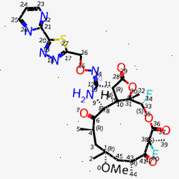 CO[C@]1(C)C[C@@H](C)C(=O)[C@H](C)[C@H]2[C@H](/C(N)=N/OCc3nnc(-c4ncccn4)s3)C(=O)O[C@]2(C)[C@H](F)OC(=O)[C@@](C)(F)C(=O)[C@H](C)C1